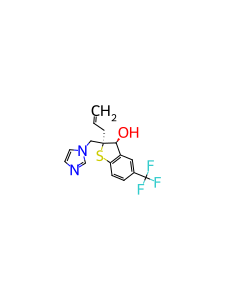 C=CC[C@@]1(Cn2ccnc2)Sc2ccc(C(F)(F)F)cc2[C@@H]1O